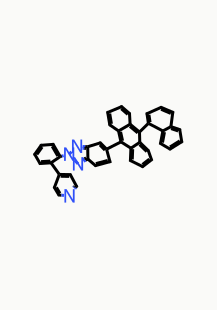 c1ccc(-n2nc3ccc(-c4c5ccccc5c(-c5cccc6ccccc56)c5ccccc45)cc3n2)c(-c2ccncc2)c1